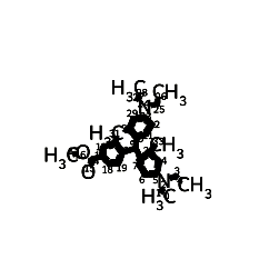 CCN(CC)c1ccc(C(c2ccc(C(=O)OC)cc2)c2ccc(N(CC)CC)cc2C)c(C)c1